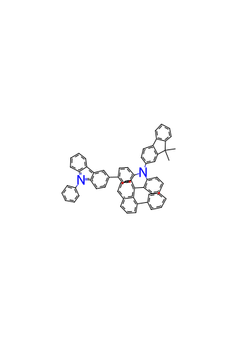 CC1(C)c2ccccc2-c2ccc(N(c3ccc(-c4ccc5c(c4)c4ccccc4n5-c4ccccc4)cc3)c3ccccc3-c3cccc4cccc(-c5ccccc5)c34)cc21